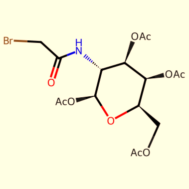 CC(=O)OC[C@H]1O[C@@H](OC(C)=O)[C@H](NC(=O)CBr)[C@@H](OC(C)=O)[C@H]1OC(C)=O